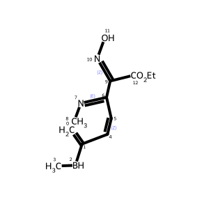 C=C(BC)\C=C/C(=N\C)C(=N/O)/C(=O)OCC